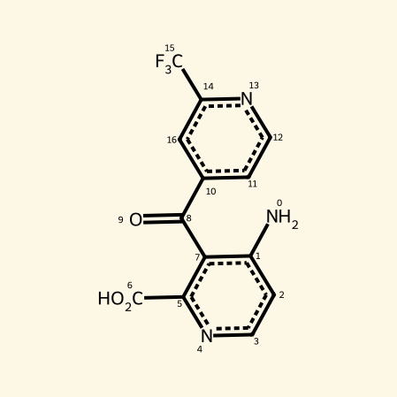 Nc1ccnc(C(=O)O)c1C(=O)c1ccnc(C(F)(F)F)c1